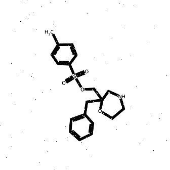 Cc1ccc(S(=O)(=O)OCC2(Cc3ccccc3)CNCCO2)cc1